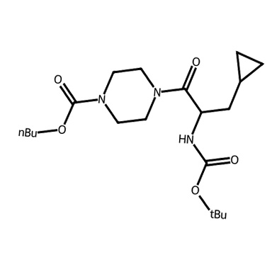 CCCCOC(=O)N1CCN(C(=O)C(CC2CC2)NC(=O)OC(C)(C)C)CC1